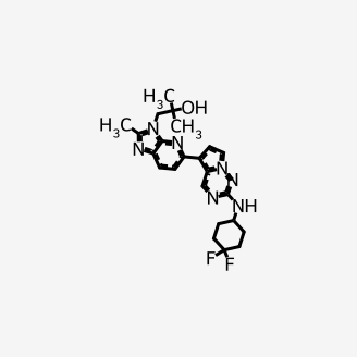 Cc1nc2ccc(-c3ccn4nc(NC5CCC(F)(F)CC5)ncc34)nc2n1CC(C)(C)O